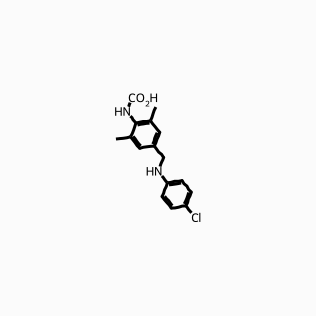 Cc1cc(CNc2ccc(Cl)cc2)cc(C)c1NC(=O)O